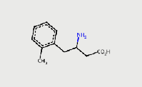 Cc1ccccc1CC(N)CC(=O)O